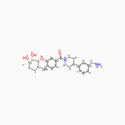 CC(C)C1CC[C@@](C)(O)[C@H](O)[C@@H]1Oc1cccc(C(=O)N2CCC(c3cccc(CN)c3)CC2)c1